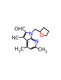 Cc1cc(C)c2c(C#N)c(C=O)n(CC3CCCO3)c2n1